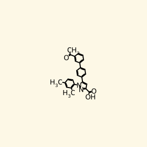 CC(=O)c1cccc(-c2ccc(-c3cc(C(=O)O)nn3-c3ccc(C)cc3C)cc2)c1